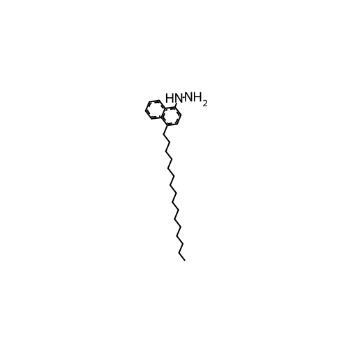 CCCCCCCCCCCCCCCCc1ccc(NN)c2ccccc12